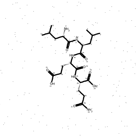 CC(C)C[C@H](NC(=O)[C@@H](N)CC(C)C)C(=O)N[C@@H](CCC(=O)O)C(=O)N[C@@H](CCC(N)=O)C(=O)O